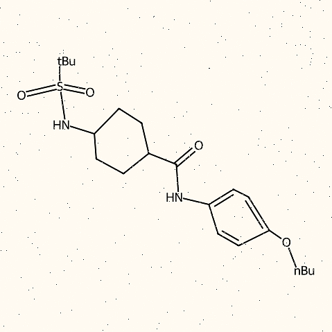 CCCCOc1ccc(NC(=O)C2CCC(NS(=O)(=O)C(C)(C)C)CC2)cc1